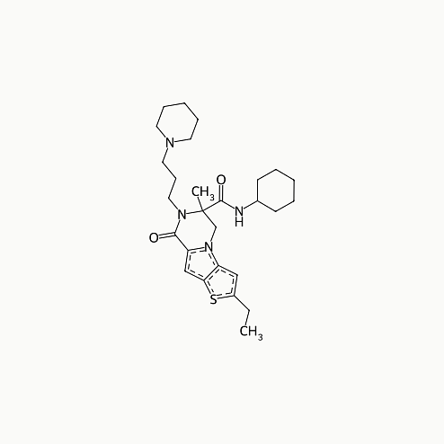 CCc1cc2c(cc3n2CC(C)(C(=O)NC2CCCCC2)N(CCCN2CCCCC2)C3=O)s1